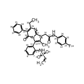 C=CS(=O)(=O)Nc1ccccc1-c1c(C)n(CC(=O)Nc2ccc(F)cc2)c2nc(CC)c(-c3ccccc3)c(=O)n12